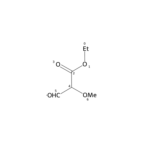 CCOC(=O)C([C]=O)OC